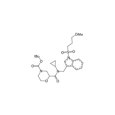 COCCCS(=O)(=O)n1cc(CN(C(=O)C2CN(C(=O)OC(C)(C)C)CCO2)C2CC2)c2ccccc21